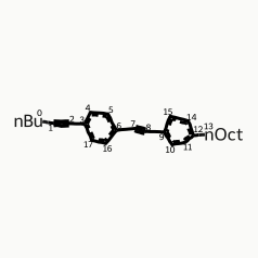 CCCCC#Cc1ccc(C#Cc2ccc(CCCCCCCC)cc2)cc1